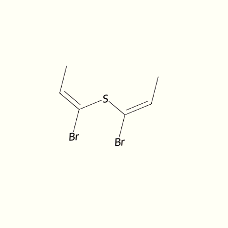 C/C=C(/Br)S/C(Br)=C\C